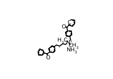 C[N+](C)(CC[CH]Cc1ccc(C(=O)c2ccccc2)cc1)Cc1ccc(C(=O)c2ccccc2)cc1.N